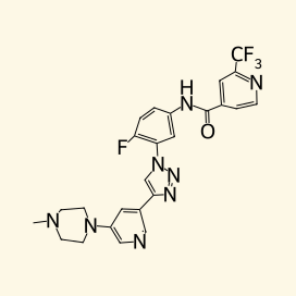 CN1CCN(c2cncc(-c3cn(-c4cc(NC(=O)c5ccnc(C(F)(F)F)c5)ccc4F)nn3)c2)CC1